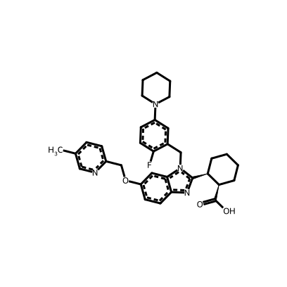 Cc1ccc(COc2ccc3nc([C@H]4CCCC[C@H]4C(=O)O)n(Cc4cc(N5CCCCC5)ccc4F)c3c2)nc1